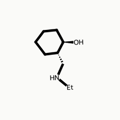 CCNC[C@@H]1CCCC[C@H]1O